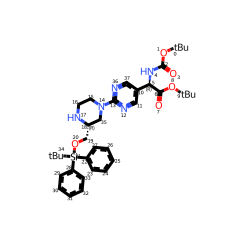 CC(C)(C)OC(=O)N[C@@H](C(=O)OC(C)(C)C)c1cnc(N2CCN[C@@H](CO[Si](c3ccccc3)(c3ccccc3)C(C)(C)C)C2)nc1